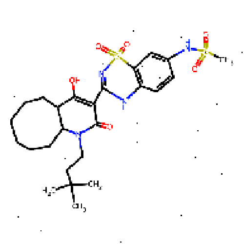 CC(C)(C)CCN1C(=O)C(C2=NS(=O)(=O)c3cc(NS(C)(=O)=O)ccc3N2)=C(O)C2CCCCCCC21